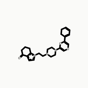 O=C1CCCc2c1ccn2CCN1CCN(C2=COC=C(C3=CC=CCC3)O2)CC1